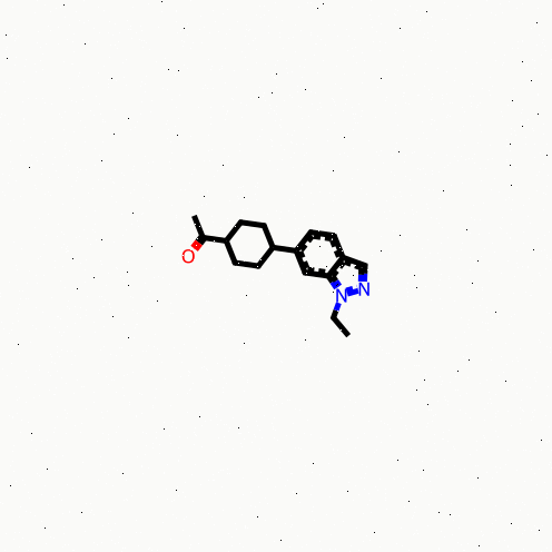 CCn1ncc2ccc(C3CCC(C(C)=O)CC3)cc21